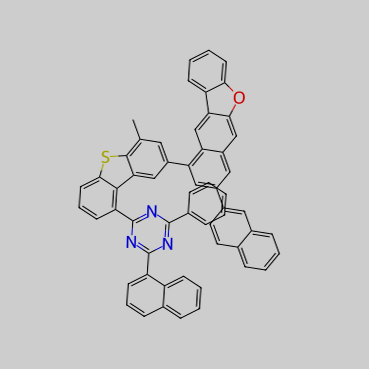 Cc1cc(-c2cc(-c3ccc4ccccc4c3)cc3cc4oc5ccccc5c4cc23)cc2c1sc1cccc(-c3nc(-c4ccccc4)nc(-c4cccc5ccccc45)n3)c12